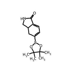 CC1(C)OB(C2=CC=C3C(=O)NCC3C2)OC1(C)C